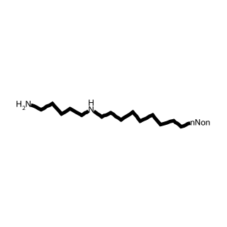 CCCCCCCCCCCCCCCCCCNCCCCCN